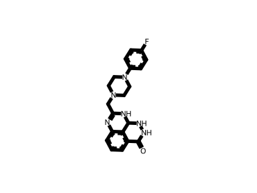 O=C1NNC2NC(CN3CCN(c4ccc(F)cc4)CC3)=Nc3cccc1c32